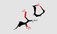 C1CCOC1.CC(=O)C=C(O)C(O)C=O